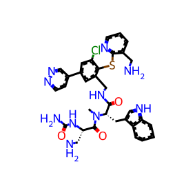 CN(C(=O)[C@H](CN)NC(N)=O)[C@@H](Cc1c[nH]c2ccccc12)C(=O)NCc1cc(-c2ccnnc2)cc(Cl)c1Sc1ncccc1CN